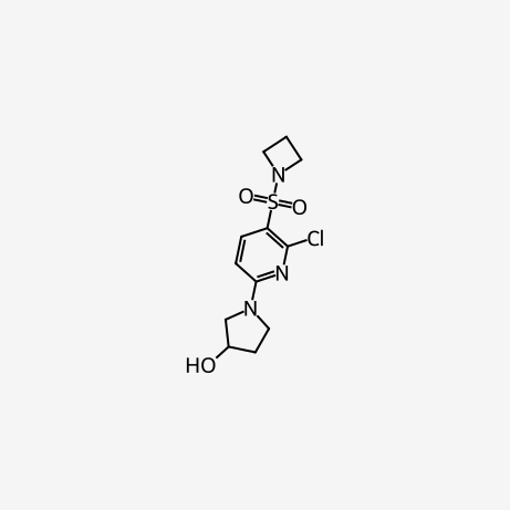 O=S(=O)(c1ccc(N2CCC(O)C2)nc1Cl)N1CCC1